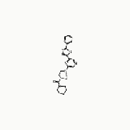 O=C(N1CCCCC1)N1CCN(c2cncc(-c3nnc(-c4ccccc4)o3)n2)CC1